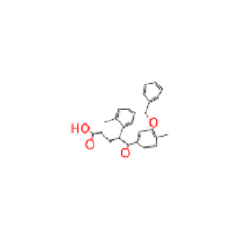 Cc1ccc(C(=O)[C@@H](CCC(=O)O)c2ccccc2C)cc1OCc1ccccc1